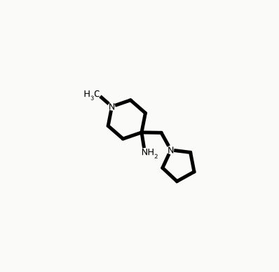 CN1CCC(N)(CN2CCCC2)CC1